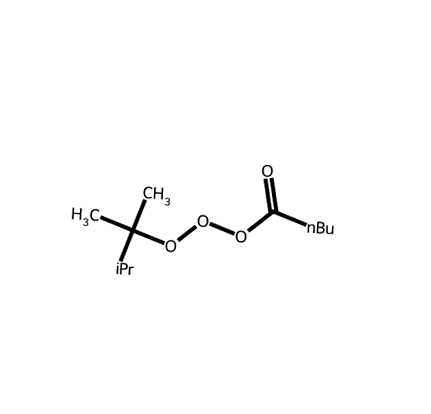 CCCCC(=O)OOOC(C)(C)C(C)C